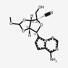 COC1O[C@H]2[C@H](c3ccc4c(N)ncnn34)O[C@](C#N)(CO)[C@H]2O1